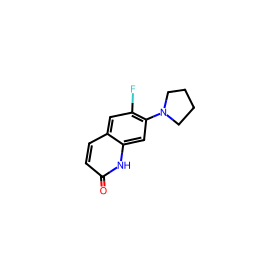 O=c1ccc2cc(F)c(N3CCCC3)cc2[nH]1